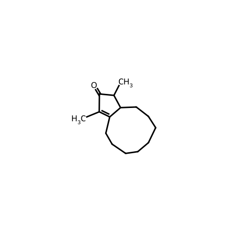 CC1=C2CCCCCCCCC2C(C)C1=O